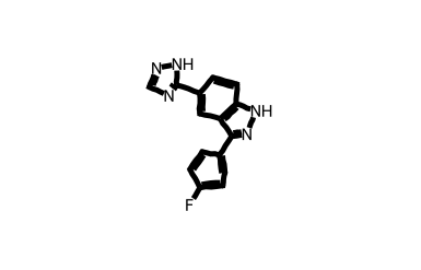 Fc1ccc(-c2n[nH]c3ccc(-c4ncn[nH]4)cc23)cc1